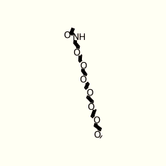 COCCOCCOCCOCCOCCOCCOCCNC(C)=O